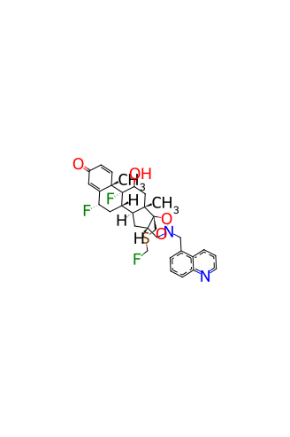 C[C@]12C=CC(=O)C=C1[C@@H](F)C[C@H]1[C@@H]3C[C@H]4CN(Cc5cccc6ncccc56)O[C@@]4(C(=O)SCF)[C@@]3(C)C[C@H](O)[C@@]12F